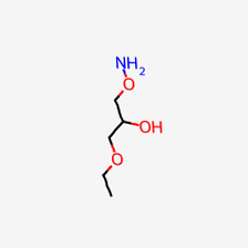 CCOCC(O)CON